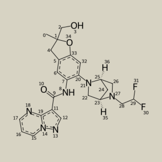 CC1(CO)Cc2cc(NC(=O)c3cnn4cccnc34)c(N3C[C@H]4C[C@@H]3CN4CC(F)F)cc2O1